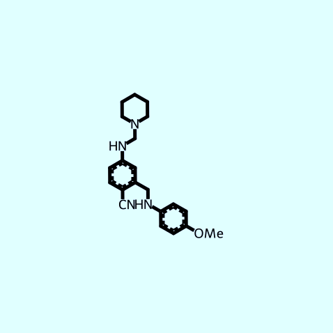 COc1ccc(NCc2cc(NCN3CCCCC3)ccc2C#N)cc1